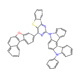 c1ccc(-n2c3ccccc3c3c4c5ccccc5n(-c5nc(-c6ccc7c(c6)oc6ccc8ccccc8c67)c6sc7ccccc7c6n5)c4ccc32)cc1